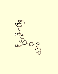 COc1cc(-c2ccc(C(=O)N3CCOCC3)cc2)cc2c1OC(CNC(=O)C=Cc1ccc(N)nc1)C2